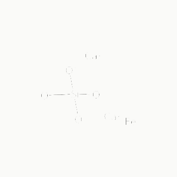 [Ca+2].[Ca+2].[Fe].[O-][Si]([O-])([O-])[O-]